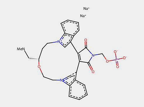 CNC[C@@H]1CCn2cc(c3ccccc32)C2=C(C(=O)N(COP(=O)([O-])[O-])C2=O)c2cn(c3ccccc23)CCO1.[Na+].[Na+]